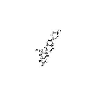 CCN1CCC(c2ccc3nc(-c4cc5cc(C)[nH]c5cc4OC)ccc3n2)CC1